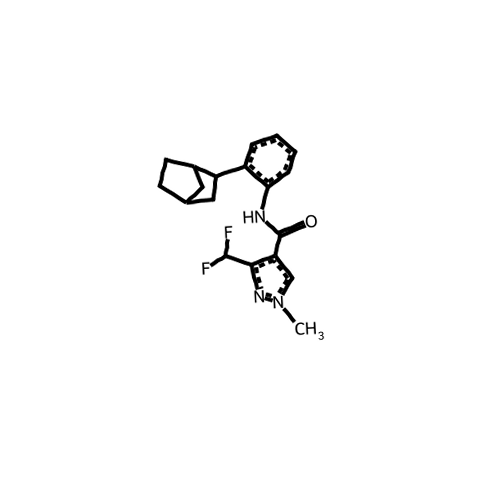 Cn1cc(C(=O)Nc2ccccc2C2CC3CCC2C3)c(C(F)F)n1